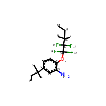 CCC(C)(C)c1ccc(OC(F)(F)C(F)(F)C(C)(C)CC)c(N)c1